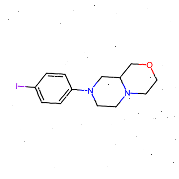 Ic1ccc(N2CCN3CCOCC3C2)cc1